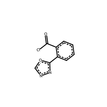 O=C(Cl)c1ccccc1-c1nnco1